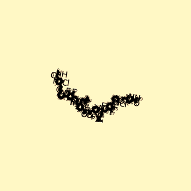 CNC(=O)c1cc(Cl)c(COc2cccc(-c3cc(F)c(Cc4nc5ccc(C(=O)OC(=O)c6ccc7nc(Cc8c(F)cc(-c9cccc(OCc%10cnc(C(=O)NC)cc%10Cl)n9)c(F)c8F)n(CC8(CF)CC8)c7c6)cc5n4CC4(CF)CC4)c(F)c3F)n2)cn1